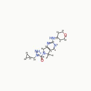 CC1(C)c2cnc(NC3CCOCC3)nc2CN1C(=O)N(N)CC1CC1